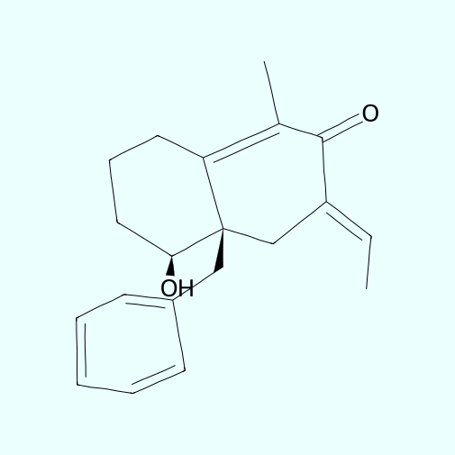 C/C=C1\C[C@@]2(Cc3ccccc3)C(=C(C)C1=O)CCC[C@@H]2O